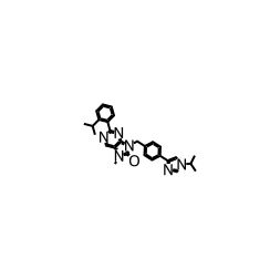 CC(C)c1ccccc1-c1ncc2c(n1)n(Cc1ccc(-c3cn(C(C)C)cn3)cc1)c(=O)n2C